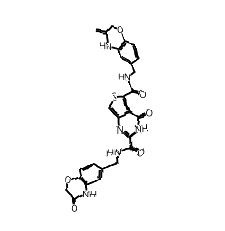 C=C1COc2ccc(CNC(=O)c3scc4nc(C(=O)NCc5ccc6c(c5)NC(=O)CO6)[nH]c(=O)c34)cc2N1